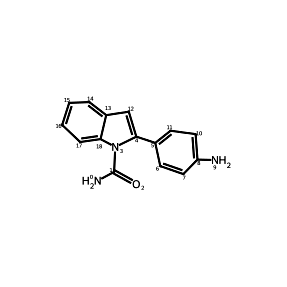 NC(=O)n1c(-c2ccc(N)cc2)cc2ccccc21